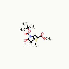 COC(=O)c1cc2c(s1)C(C)(C)C(=O)N2C(=O)OC(C)(C)C